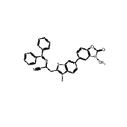 Cn1c(=O)oc2ccc(-c3ccc4c(F)c(CC(C#N)N=C(c5ccccc5)c5ccccc5)sc4c3)cc21